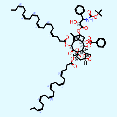 CC/C=C\C/C=C\C/C=C\C/C=C\C/C=C\C/C=C\CCC(=O)O[C@H]1C(=O)[C@]2(C)[C@@H](OC(=O)CC/C=C\C/C=C\C/C=C\C/C=C\C/C=C\C/C=C\CC)C[C@H]3OC[C@@]3(OC(C)=O)[C@H]2[C@H](OC(=O)c2ccccc2)[C@]2(O)CC3(OC(=O)[C@H](O)C(NC(=O)OC(C)(C)C)c4ccccc4)C(C)=C1[C@@]32C